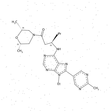 CCn1c(-c2cnc(C)nc2)nc2c(N[C@@H](CC(=O)N3C[C@@H](C)O[C@@H](C)C3)C(C)C)ncnc21